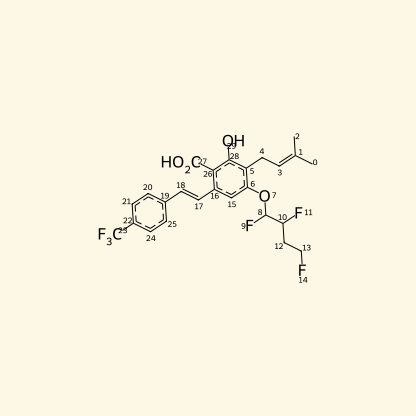 CC(C)=CCc1c(OC(F)C(F)CCF)cc(C=Cc2ccc(C(F)(F)F)cc2)c(C(=O)O)c1O